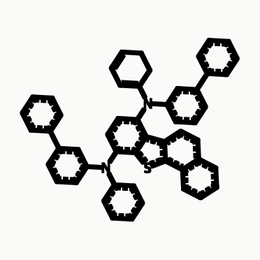 C1=CCCC(N(c2cccc(-c3ccccc3)c2)c2ccc(N(c3ccccc3)c3cccc(-c4ccccc4)c3)c3sc4c5ccccc5ccc4c23)=C1